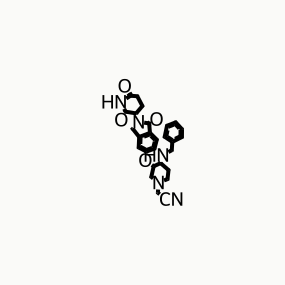 N#CCN1CCC(NCc2ccccc2)C(Oc2ccc3c(c2)CN(C2CCC(=O)NC2=O)C3=O)C1